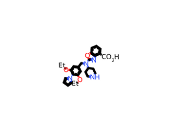 CCOc1cc(CN(c2nc3c(C(=O)O)cccc3o2)C2CCNCC2)cc(OCC)c1-n1cccc1